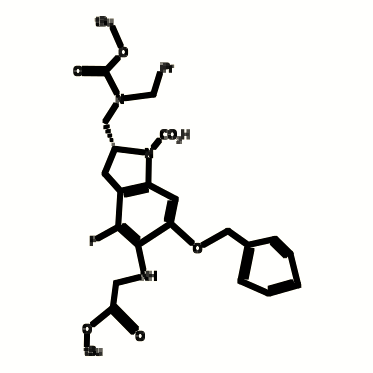 CC(C)CN(C[C@H]1Cc2c(cc(OCc3ccccc3)c(NCC(=O)OC(C)(C)C)c2F)N1C(=O)O)C(=O)OC(C)(C)C